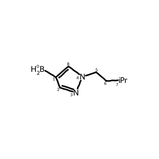 Bc1cnn(CCC(C)C)c1